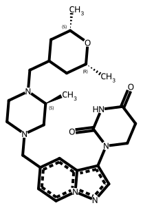 C[C@@H]1CC(CN2CCN(Cc3ccn4ncc(N5CCC(=O)NC5=O)c4c3)C[C@@H]2C)C[C@H](C)O1